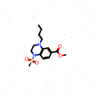 CCCCN1CCN(S(C)(=O)=O)c2ccc(C(=O)OC)cc21